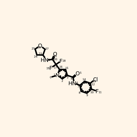 Cn1cc(C(=O)Nc2ccc(F)c(Cl)c2)cc1C(F)(F)C(=O)NC1CCOC1